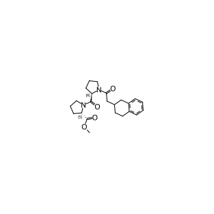 COC(=O)[C@@H]1CCCN1C(=O)[C@H]1CCCN1C(=O)CC1CCc2ccccc2C1